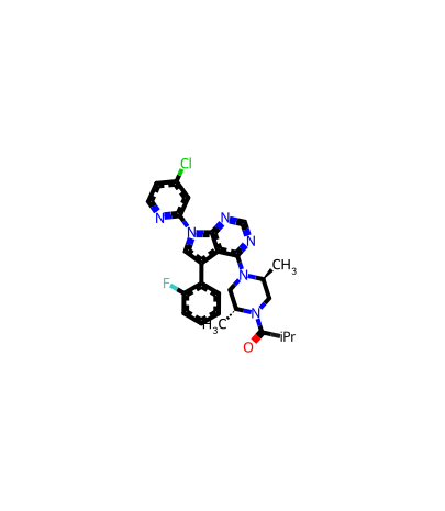 CC(C)C(=O)N1C[C@H](C)N(c2ncnc3c2c(-c2ccccc2F)cn3-c2cc(Cl)ccn2)C[C@H]1C